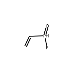 C=C[PH](=O)F